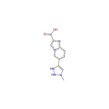 CN1C=C(c2ccc3nc(C(=O)O)cn3c2)NN1